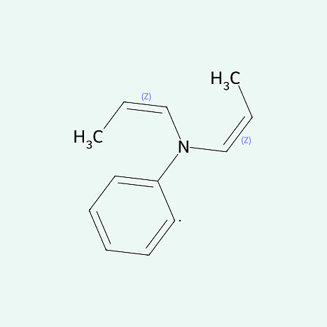 C/C=C\N(/C=C\C)c1[c]cccc1